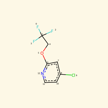 FC(F)(F)COc1cc(Cl)ccn1